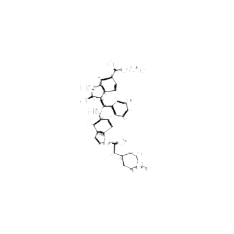 COC(=O)c1ccc2c(c1)NC(=O)/C2=C(\Nc1ccc2c(ccn2C(=O)CC2CCN(C)CC2)c1)c1ccccc1